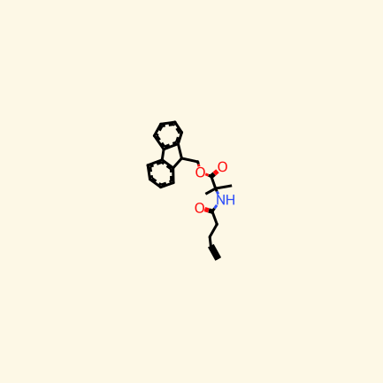 C#CCCC(=O)NC(C)(C)C(=O)OCC1c2ccccc2-c2ccccc21